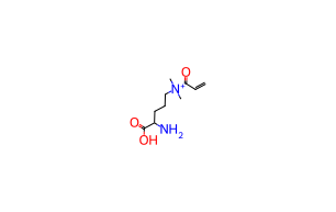 C=CC(=O)[N+](C)(C)CCCC(N)C(=O)O